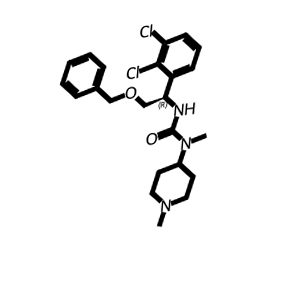 CN1CCC(N(C)C(=O)N[C@@H](COCc2ccccc2)c2cccc(Cl)c2Cl)CC1